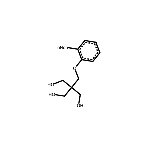 CCCCCCCCCc1ccccc1OCC(CO)(CO)CO